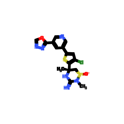 CN1C(=N)N[C@](C)(c2sc(-c3cncc(-c4nnco4)c3)cc2Cl)C[S+]1[O-]